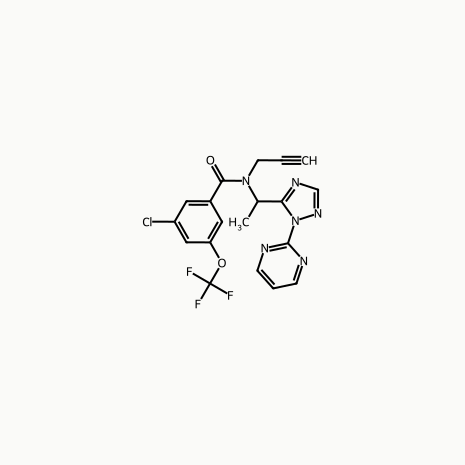 C#CCN(C(=O)c1cc(Cl)cc(OC(F)(F)F)c1)C(C)c1ncnn1-c1ncccn1